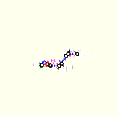 Nc1c(N=Nc2ccc3cc(S(=O)(=O)O)c(N=Nc4ccc(S(=O)(=O)O)cc4C(=O)O)c(O)c3c2)cc(S(=O)(=O)O)c2cc(S(=O)(=O)O)c(N=Nc3ccc4cc(S(=O)(=O)O)c(/N=N\c5c(Cl)cc(Cl)cc5C(=O)O)c(O)c4c3)c(O)c12